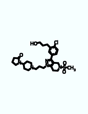 CS(=O)(=O)N1CCc2c(c(-c3ccc(Cl)c(CCCO)c3)nn2CCCN2CCC(N3CCCC3=O)CC2)C1